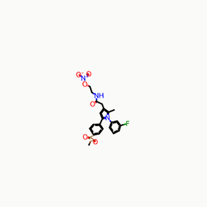 Cc1c(CC(=O)NCCO[N+](=O)[O-])cc(-c2ccc(S(C)(=O)=O)cc2)n1-c1cccc(F)c1